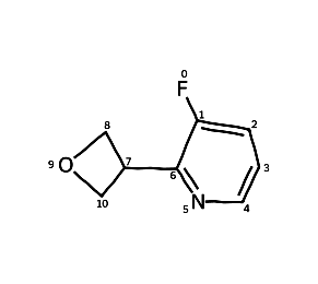 Fc1cccnc1C1COC1